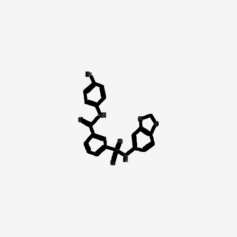 O=C(Nc1ccc(Br)cc1)c1cccc(S(=O)(=O)Nc2ccc3c(c2)OCO3)c1